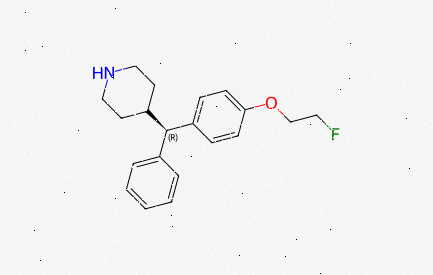 FCCOc1ccc([C@@H](c2ccccc2)C2CCNCC2)cc1